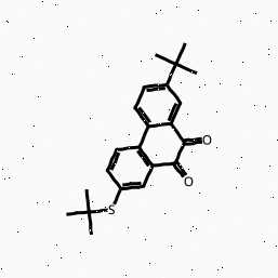 CC(C)(C)Sc1ccc2c(c1)C(=O)C(=O)c1cc(C(C)(C)C)ccc1-2